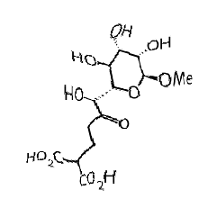 CO[C@H]1O[C@H](C(O)C(=O)CCC(C(=O)O)C(=O)O)[C@@H](O)[C@H](O)[C@@H]1O